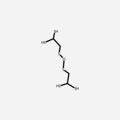 SC(S)CSOSCC(S)S